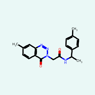 Cc1ccc(C(C)NC(=O)Cn2nnc3cc(C)ccc3c2=O)cc1